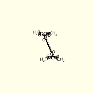 C=CC(=O)OCC(C)(COC(=O)C=C)COC(=O)CCCCCCCCCCC(=O)OCC(C)(COC(=O)C=C)COC(=O)C=C